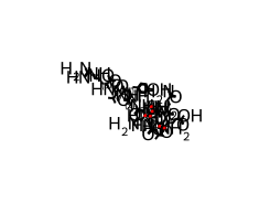 CC(C)[C@H](NC(=O)[C@H](Cc1ccc(O)cc1)NC(=O)[C@H](C)NC(=O)[C@H](CS)NC(=O)[C@H](CC(N)=O)NC(=O)[C@@H](NC(=O)[C@H](CCC(=O)O)NC(=O)[C@H](CCC(N)=O)NC(=O)[C@@H](N)CCCCN)C(C)C)C(=O)N[C@@H](CCCNC(=N)N)C(=O)O